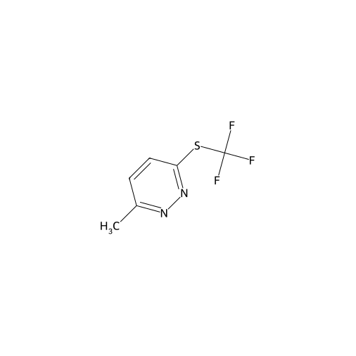 Cc1ccc(SC(F)(F)F)nn1